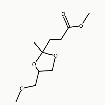 COCC1COC(C)(CCC(=O)OC)O1